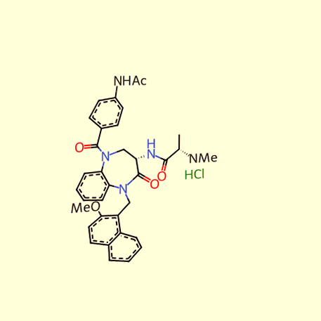 CN[C@@H](C)C(=O)N[C@H]1CN(C(=O)c2ccc(NC(C)=O)cc2)c2ccccc2N(Cc2c(OC)ccc3ccccc23)C1=O.Cl